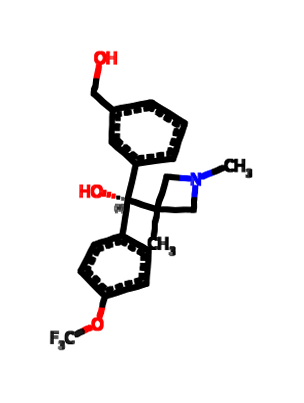 CN1CC(C)([C@@](O)(c2ccc(OC(F)(F)F)cc2)c2cccc(CO)c2)C1